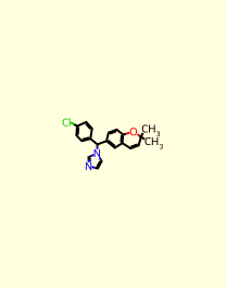 CC1(C)C=Cc2cc(C(c3ccc(Cl)cc3)n3ccnc3)ccc2O1